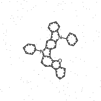 c1ccc(-n2c3ccccc3c3cc4c(cc32)c2c3oc5ccccc5c3ccc2n4-c2ccccc2)cc1